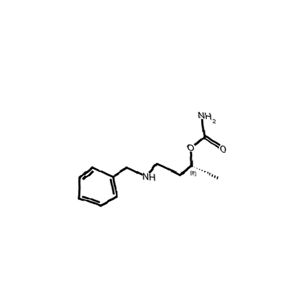 C[C@H](CCNCc1ccccc1)OC(N)=O